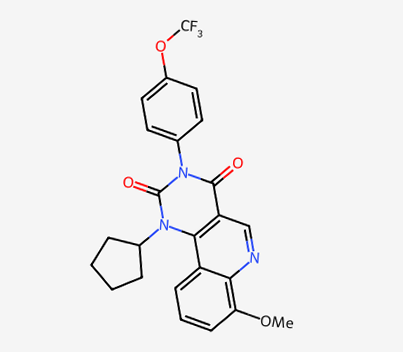 COc1cccc2c1ncc1c(=O)n(-c3ccc(OC(F)(F)F)cc3)c(=O)n(C3CCCC3)c12